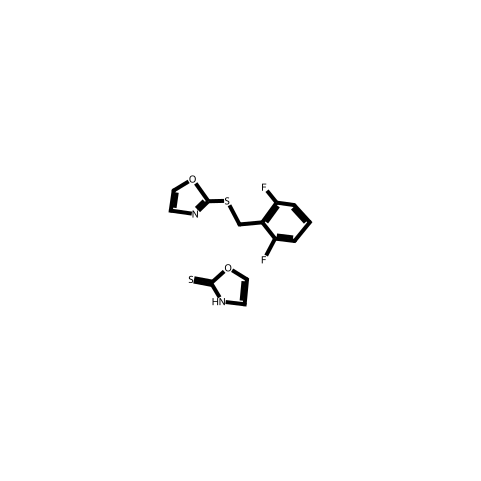 Fc1cccc(F)c1CSc1ncco1.S=c1[nH]cco1